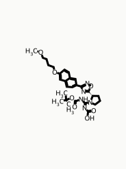 COCCCCOc1ccc2cc(-c3noc([C@@H]4CCCN4/C(=N\C(=O)O)NC(=O)OC(C)(C)C)n3)ccc2c1